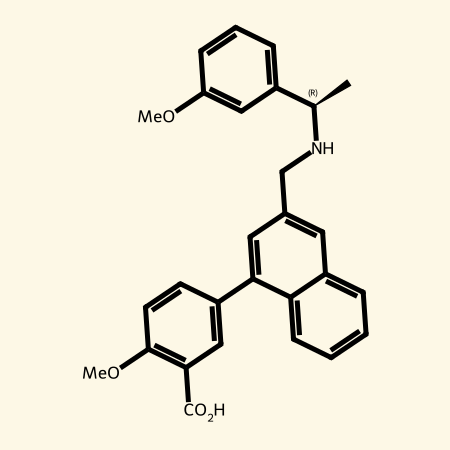 COc1cccc([C@@H](C)NCc2cc(-c3ccc(OC)c(C(=O)O)c3)c3ccccc3c2)c1